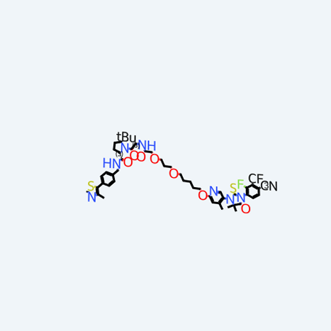 Cc1cc(OCCCCCOCCCOCC(=O)N[C@H](C(=O)N2CCC[C@H]2C(=O)NCc2ccc(-c3scnc3C)cc2)C(C)(C)C)ncc1N1C(=S)N(c2ccc(C#N)c(C(F)(F)F)c2F)C(=O)C1(C)C